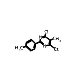 CCc1nc(-c2ccc(C)cc2)nc(Cl)c1C